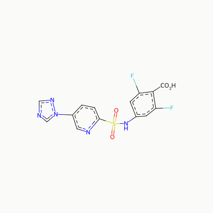 O=C(O)c1c(F)cc(NS(=O)(=O)c2ccc(-n3cncn3)cn2)cc1F